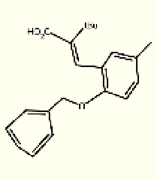 Cc1ccc(OCc2ccccc2)c(C=C(C(=O)O)C(C)(C)C)c1